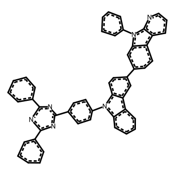 c1ccc(-c2nc(-c3ccccc3)nc(-c3ccc(-n4c5ccccc5c5cc(-c6ccc7c8cccnc8n(-c8ccccc8)c7c6)ccc54)cc3)n2)cc1